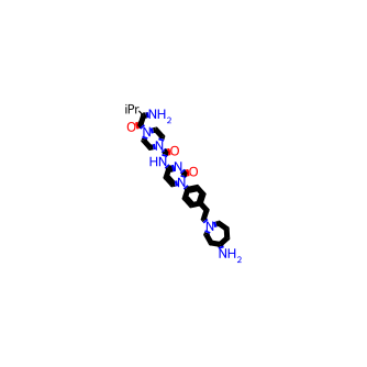 CC(C)[C@H](N)C(=O)N1CCN(C(=O)Nc2ccn(-c3ccc(CCN4CCCC(N)CC4)cc3)c(=O)n2)CC1